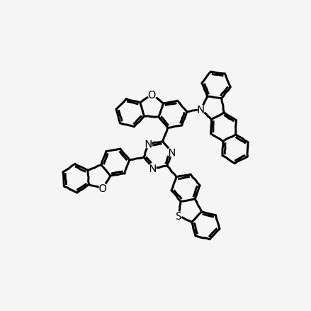 c1ccc2cc3c(cc2c1)c1ccccc1n3-c1cc(-c2nc(-c3ccc4c(c3)oc3ccccc34)nc(-c3ccc4c(c3)sc3ccccc34)n2)c2c(c1)oc1ccccc12